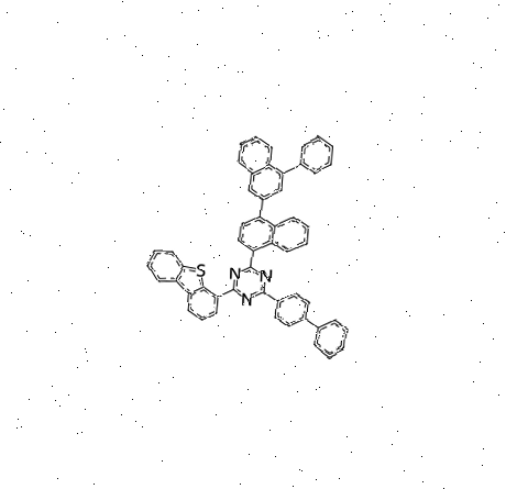 c1ccc(-c2ccc(-c3nc(-c4ccc(-c5cc(-c6ccccc6)c6ccccc6c5)c5ccccc45)nc(-c4cccc5c4sc4ccccc45)n3)cc2)cc1